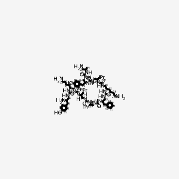 CC(C)CC(CNC(=O)NC(CNC(=O)NC(CNC(=O)NC(CCCCN)CNC(=O)NC(CNC(=O)NC(CNC(=O)NC(C)CN)Cc1ccc(O)cc1)C(C)C)Cc1ccccc1)C(C)C)NC(=O)NC[C@H](CCCCN)NC(=O)NCC(N)Cc1ccc(O)cc1